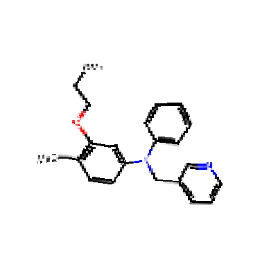 COCCOc1cc(N(Cc2cccnc2)c2ccccc2)ccc1OC